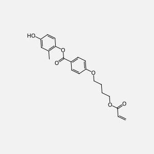 C=CC(=O)OCCCCOc1ccc(C(=O)Oc2ccc(O)cc2C)cc1